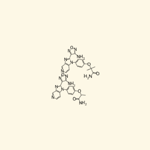 CC(C)(Oc1ccc(-n2c(-c3nonc3N)nc3cnccc32)cc1)C(N)=O.CC(Oc1ccc(-n2c(-c3nonc3N)nc3cnccc32)cc1)C(N)=O